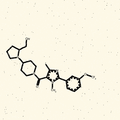 Cn1c(-c2cccc(OC(F)(F)F)c2)nc(I)c1C(=O)N1CCC(N2CCCC2CO)CC1